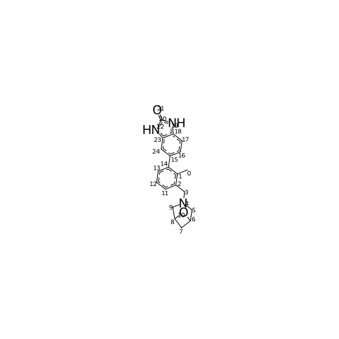 Cc1c(CN2CC3CC(C2)O3)cccc1-c1ccc2[nH]c(=O)[nH]c2c1